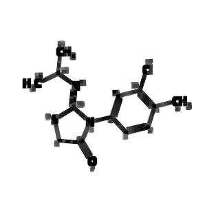 Cc1ccc(N2C(=O)CS/C2=N\C(C)C)cc1Cl